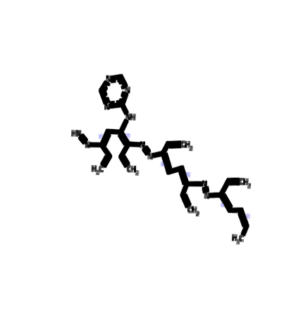 C=C/C(N=N/C(C=C)=C/C=C(\C=C)N=N/C(C=C)=C/C=C\C)=C(\C=C(/C=C)N=N)Nc1ncncn1